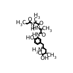 CCC(=O)N[C@@H](C)C(=O)N[C@@H](C)C(=O)Nc1cc(C[C@H](N)C[C@H](C)C(=O)O)ccc1O